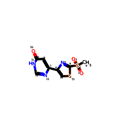 CS(=O)(=O)c1nc(-c2cc(=O)[nH]cn2)cs1